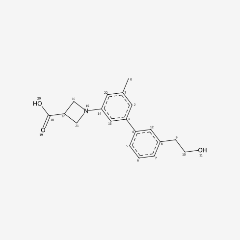 Cc1cc(-c2cccc(CCO)c2)cc(N2CC(C(=O)O)C2)c1